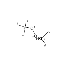 C[SiH](C)OOC(C)(C)C